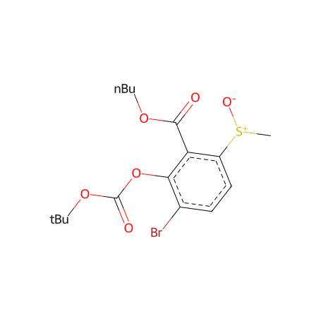 CCCCOC(=O)c1c([S+](C)[O-])ccc(Br)c1OC(=O)OC(C)(C)C